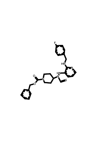 O=C(OCc1ccccc1)N1CCC(N(C=S)Nc2cccnc2NCc2ccc(F)cc2)CC1